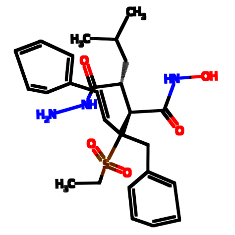 CCS(=O)(=O)C(/C=C/c1ccccc1)(Cc1ccccc1)[C@H](C(=O)NO)[C@@H](CC(C)C)C(=O)NN